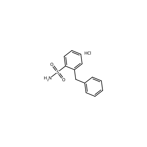 Cl.NS(=O)(=O)c1ccccc1Cc1ccccc1